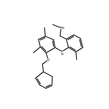 CPCc1cccc(C)c1Pc1cc(C)cc(C)c1OCC1C=CC=CC1